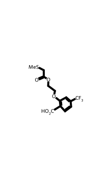 CSCC(=O)OCCOc1cc(C(F)(F)F)ccc1C(=O)O